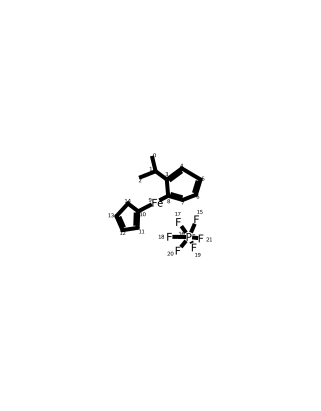 CC(C)c1cccc[c]1[Fe][C]1=CC=CC1.F[P-](F)(F)(F)(F)F